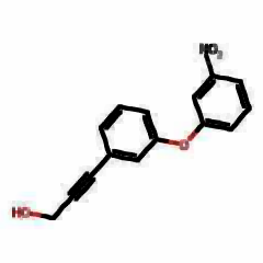 O=[N+]([O-])c1cccc(Oc2cccc(C#CCO)c2)c1